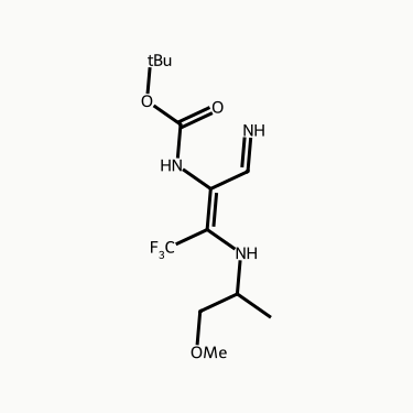 COCC(C)N/C(=C(\C=N)NC(=O)OC(C)(C)C)C(F)(F)F